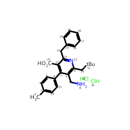 Cc1ccc(-c2c(CN)c(CC(C)(C)C)nc(Cc3ccccc3)c2C(=O)O)cc1.Cl.Cl